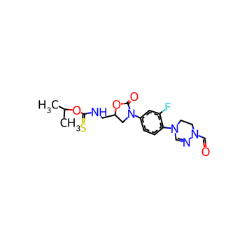 CC(C)OC(=S)NCC1CN(c2ccc(N3C=NN(C=O)CC3)c(F)c2)C(=O)O1